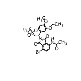 CCOc1cc([C@@H](CS(C)(=O)=O)N2C(=O)c3c(Br)ccc(NC(C)=O)c3C2=O)ccc1OC